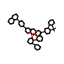 CC1(C)c2ccccc2-c2cc(-c3ccc(N(c4ccc(-c5ccc(-c6cccc7ccccc67)cc5)cc4)c4cccc(-c5ccccc5)c4-c4ccccc4-c4ccccc4)cc3)ccc21